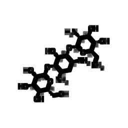 NC[C@H]1O[C@H](O[C@H]2[C@H](O)[C@@H](O[C@H]3O[C@H](CO)[C@@H](O)[C@H](O)[C@H]3O)[C@H](N)C[C@@H]2N)[C@H](N)[C@@H](O)[C@@H]1O